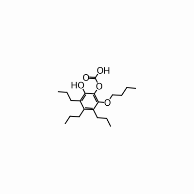 CCCCOc1c(CCC)c(CCC)c(CCC)c(O)c1OC(=O)O